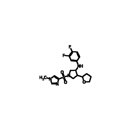 Cn1cnc(S(=O)(=O)N2CC(Nc3ccc(F)c(F)c3)C(C3CCCO3)C2)c1